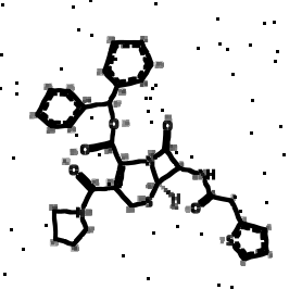 O=C(Cc1cccs1)NC1C(=O)N2C(C(=O)OC(c3ccccc3)c3ccccc3)=C(C(=O)N3CCCC3)CS[C@H]12